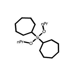 CCCO[Si](OCCC)(C1CCCCCC1)C1CCCCCC1